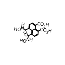 O=C(O)c1ccc(C(=O)NO)c2c(C(=O)NO)ccc(C(=O)O)c12